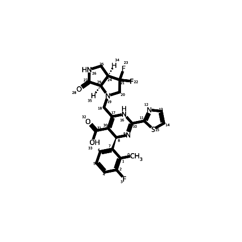 Cc1c(F)cccc1[C@@H]1N=C(c2nccs2)NC(CN2CC(F)(F)[C@@H]3CNC(=O)[C@@H]32)=C1C(=O)O